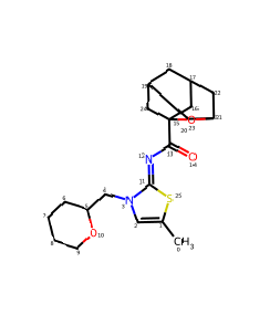 Cc1cn(CC2CCCCO2)/c(=N/C(=O)C23CC4CC(CC(C4)O2)C3)s1